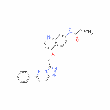 C=CC(=O)Nc1ccc2c(OCc3nnc4ccc(-c5ccccc5)nn34)ccnc2c1